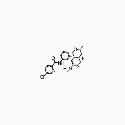 C[C@H]1C[C@@]2(F)CSC(N)=C[C@@]2(c2cccc(NC(=O)c3ccc(Cl)cn3)c2)CO1